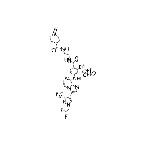 CCc1cc(Nc2nccn3c(-c4cn(CC(F)F)nc4C(F)(F)F)cnc23)ccc1C(=O)NCCNC(=O)C1CCNCC1.O=CO